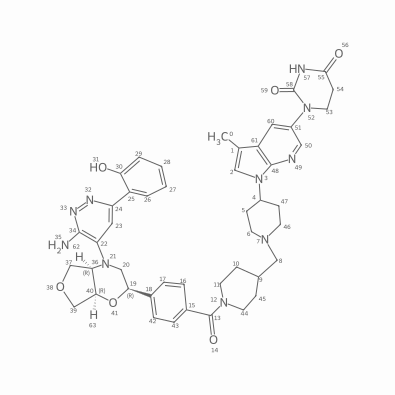 Cc1cn(C2CCN(CC3CCN(C(=O)c4ccc([C@@H]5CN(c6cc(-c7ccccc7O)nnc6N)[C@@H]6COC[C@@H]6O5)cc4)CC3)CC2)c2ncc(N3CCC(=O)NC3=O)cc12